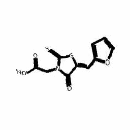 O=C(O)CN1C(=O)C(=Cc2ccco2)SC1=S